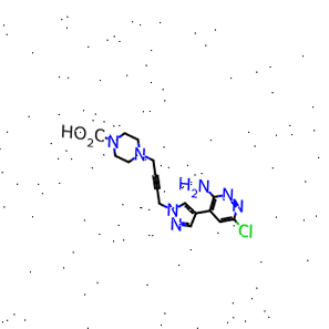 Nc1nnc(Cl)cc1-c1cnn(CC#CCN2CCN(C(=O)O)CC2)c1